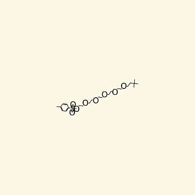 Cc1ccc(S(=O)(=O)OCCOCCOCCOCCOCCOCCC(C)(C)C)cc1